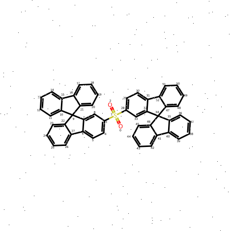 O=S(=O)(c1ccc2c(c1)C1(c3ccccc3-c3ccccc31)c1ccccc1-2)c1ccc2c(c1)C1(c3ccccc3-c3ccccc31)c1ccccc1-2